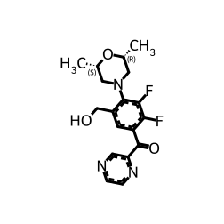 C[C@@H]1CN(c2c(CO)cc(C(=O)c3cnccn3)c(F)c2F)C[C@H](C)O1